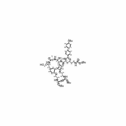 CCCCc1ccc(-c2ccc(C(=O)N[C@@H](CCCCNC(=O)OC(C)(C)C)C(=O)N(C)[C@@H]3C(=O)N[C@@H](C)C(=O)N[C@H](C(=O)O)Cc4ccc(OCCNC(=O)OC(C)(C)C)c(c4)-c4cc3ccc4OCCNC(=O)OC(C)(C)C)cc2)cc1